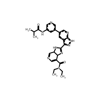 CCN(CC)C(=O)C1=CN=CC2NC(c3n[nH]c4ncc(-c5cncc(NC(=O)C(C)C)c5)cc34)=NC12